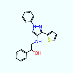 OC(CNc1cn(-c2ccccc2)nc1-c1cccs1)c1ccccc1